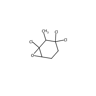 CC1C(Cl)(Cl)CCC2OC21Cl